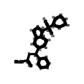 COC(=O)CC(c1ccccc1)c1ccc2c(ccn2S(=O)(=O)c2ccccc2)c1